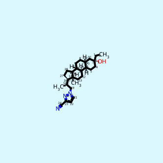 CC[C@@]1(O)CC[C@H]2[C@H](CC[C@@H]3[C@@H]2CC[C@]2(C)[C@@H]([C@H](C)Cn4ccc(C#N)n4)CC[C@@H]32)C1